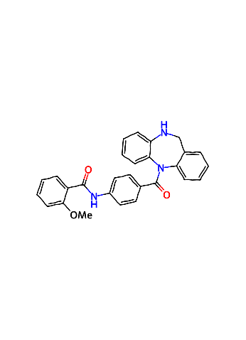 COc1ccccc1C(=O)Nc1ccc(C(=O)N2c3ccccc3CNc3ccccc32)cc1